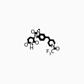 Cn1c(=O)n(C2CCC(=O)NC2=O)c2ccc(CC3CCN(C(=O)C(F)(F)F)CC3)cc21